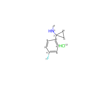 CNC1(c2ccc(F)cc2)CC1.Cl